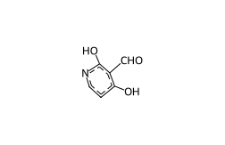 O=Cc1c(O)ccnc1O